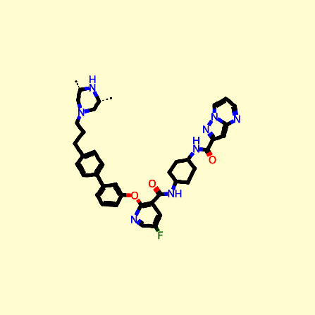 C[C@@H]1CN(CCCc2ccc(-c3cccc(Oc4ncc(F)cc4C(=O)NC4CCC(NC(=O)c5cc6ncccn6n5)CC4)c3)cc2)C[C@H](C)N1